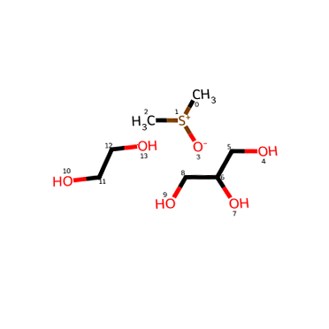 C[S+](C)[O-].OCC(O)CO.OCCO